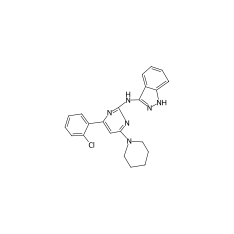 Clc1ccccc1-c1cc(N2CCCCC2)nc(Nc2n[nH]c3ccccc23)n1